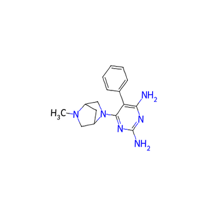 CN1CC2CC1CN2c1nc(N)nc(N)c1-c1ccccc1